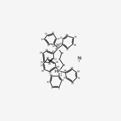 [Ni].c1ccc([PH](CCC[PH](c2ccccc2)(c2ccccc2)c2ccccc2)(c2ccccc2)c2ccccc2)cc1